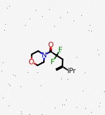 C=C(CC(F)(F)C(=O)N1CCOCC1)C(C)C